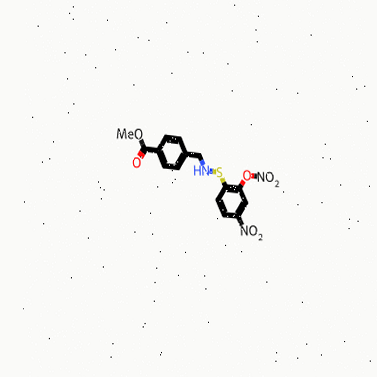 COC(=O)c1ccc(CNSc2ccc([N+](=O)[O-])cc2O[N+](=O)[O-])cc1